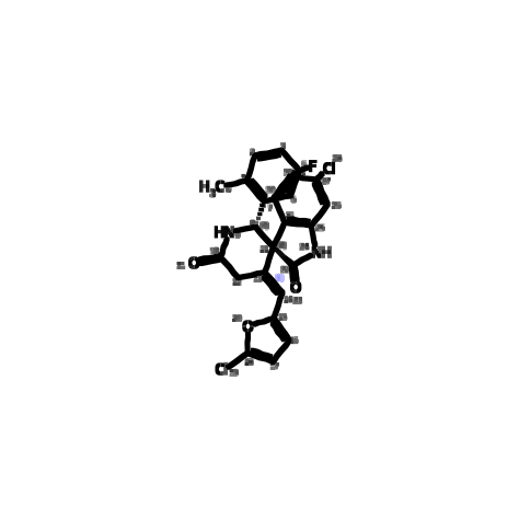 Cc1ccc(F)cc1[C@H]1NC(=O)C/C(=C\c2ccc(Cl)o2)[C@]12C(=O)Nc1cc(Cl)ccc12